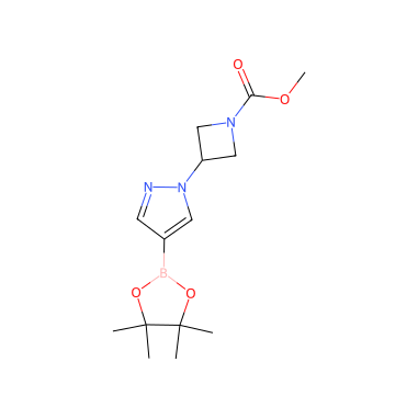 COC(=O)N1CC(n2cc(B3OC(C)(C)C(C)(C)O3)cn2)C1